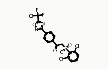 O=C(CS(=O)(=O)c1c(Cl)cccc1Cl)c1ccc(-c2noc(C(F)(F)Cl)n2)cc1